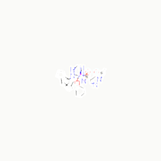 C[C@H]1Cn2ncc([S@](=O)(=NC(c3ccccc3)(c3ccccc3)c3ccccc3)NC(=O)Nc3c4c(cc5c3CC5)CCC4)c2O1